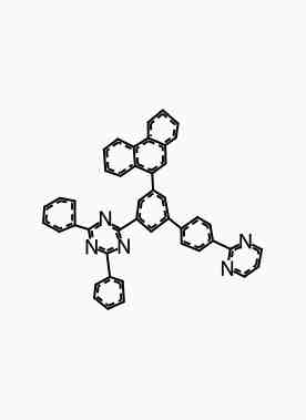 c1ccc(-c2nc(-c3ccccc3)nc(-c3cc(-c4ccc(-c5ncccn5)cc4)cc(-c4cc5ccccc5c5ccccc45)c3)n2)cc1